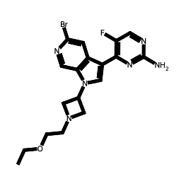 CCOCCN1CC(n2cc(-c3nc(N)ncc3F)c3cc(Br)ncc32)C1